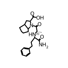 C[C@H](NC(CCc1ccccc1)C(N)=O)C(=O)N1C(C(=O)O)CC2CCCCC21